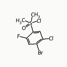 CS(C)(=O)(Cl)c1cc(Cl)c(Br)cc1F